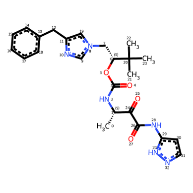 C[C@H](NC(=O)O[C@H](Cn1cnc(Cc2ccccc2)c1)C(C)(C)C)C(=O)C(=O)Nc1ccn[nH]1